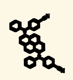 N#CC1=CC=C(N(c2ccccc2)c2ccc3ccc4c(N(c5ccccc5)c5ccc(C#N)cc5)ccc5ccc2c3c54)CC1